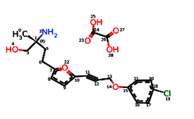 C[C@](N)(CO)CCc1ccc(C#CCOc2ccc(Cl)cc2)o1.O=C(O)C(=O)O